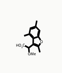 COC(C(=O)O)c1c(C)oc2cc(C)cc(C)c12